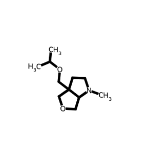 CC(C)OCC12CCN(C)C1COC2